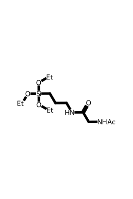 CCO[Si](CCCNC(=O)CNC(C)=O)(OCC)OCC